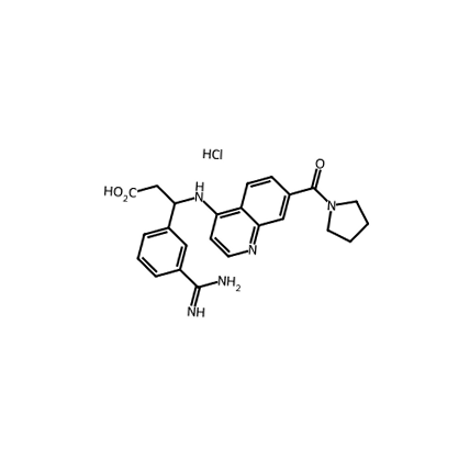 Cl.N=C(N)c1cccc(C(CC(=O)O)Nc2ccnc3cc(C(=O)N4CCCC4)ccc23)c1